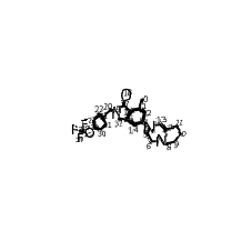 Cc1cc(N2CCN3CCCCC3C2)cc2c1C(=O)N(Cc1ccc(OC(F)(F)F)cc1)C2